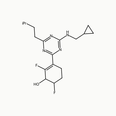 CC(C)CCc1nc(NCC2CC2)nc(C2=C(F)C(O)C(F)CC2)n1